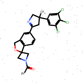 CC(C)C(=O)N1CC2(C1)OCc1cc(C3=NCC(c4cc(Cl)c(Cl)c(Cl)c4)(C(F)(F)F)C3)ccc12